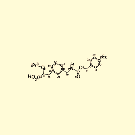 CCc1ccc(COC(=O)NCc2cccc(CC(OC(C)C)C(=O)O)c2)cc1